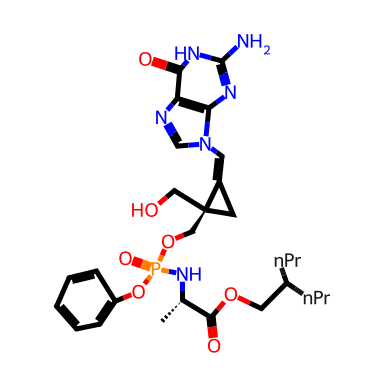 CCCC(CCC)COC(=O)[C@H](C)NP(=O)(OC[C@]1(CO)C/C1=C/n1cnc2c(=O)[nH]c(N)nc21)Oc1ccccc1